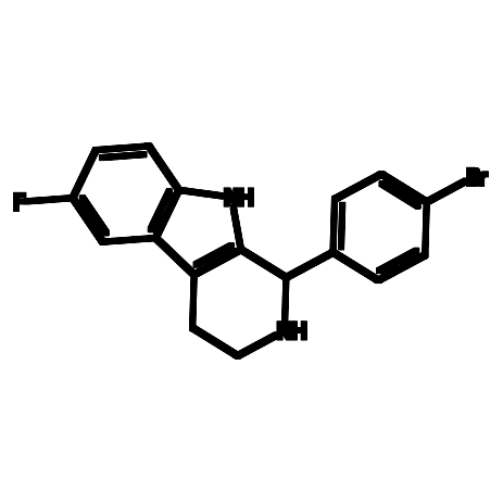 Fc1ccc2[nH]c3c(c2c1)CCNC3c1ccc(Br)cc1